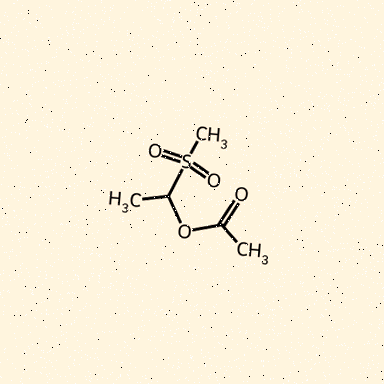 CC(=O)OC(C)S(C)(=O)=O